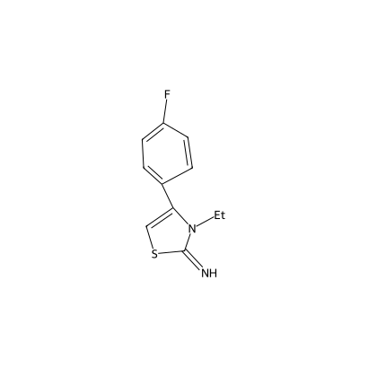 CCn1c(-c2ccc(F)cc2)csc1=N